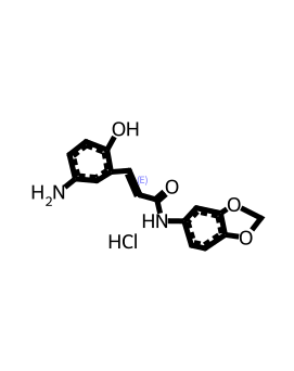 Cl.Nc1ccc(O)c(/C=C/C(=O)Nc2ccc3c(c2)OCO3)c1